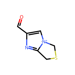 O=CC1=C[N+]2CSCC2=N1